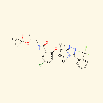 Cn1c(-c2ccccc2C(F)(F)F)nnc1C(C)(C)Oc1ccc(Cl)cc1C(=O)NCC1COC(C)(C)O1